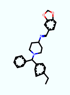 CCc1ccc(C(c2ccccc2)N2CCC(N=Cc3ccc4c(c3)OCO4)CC2)cc1